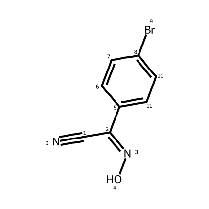 N#CC(=NO)c1ccc(Br)cc1